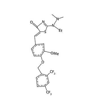 CCN(C1=NC(=O)C(=Cc2ccc(OCc3ccc(C(F)(F)F)cc3C(F)(F)F)c(OC)c2)S1)N(C)C